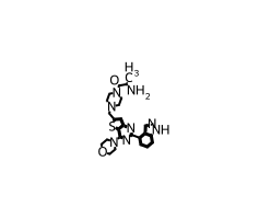 C[C@@H](N)C(=O)N1CCN(Cc2cc3nc(-c4cccc5[nH]ncc45)nc(N4CCOCC4)c3s2)CC1